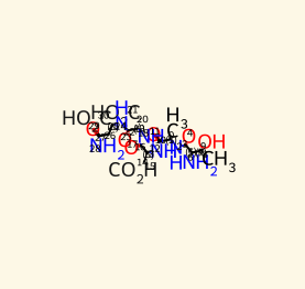 C[C@H](NC(=O)[C@@H](N)[C@@H](C)O)C(=O)N[C@@H](CC(=O)O)C(=O)N[C@@H](CC(=O)O)C(=O)N[C@@H](CC(N)=O)C(=O)O